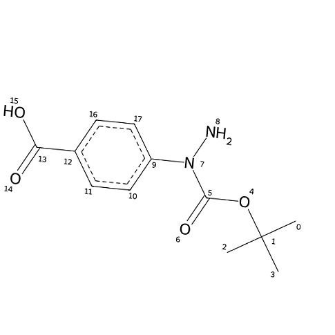 CC(C)(C)OC(=O)N(N)c1ccc(C(=O)O)cc1